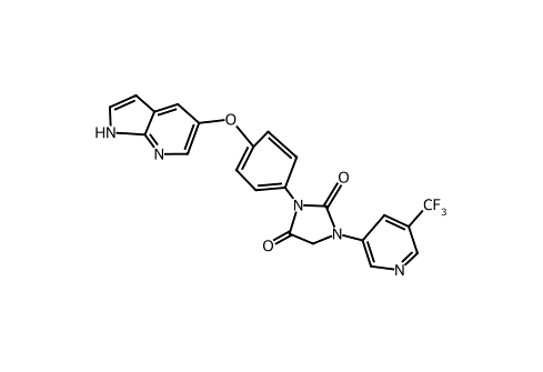 O=C1CN(c2cncc(C(F)(F)F)c2)C(=O)N1c1ccc(Oc2cnc3[nH]ccc3c2)cc1